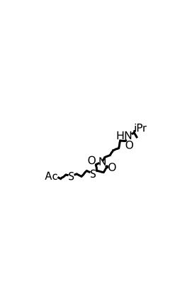 CC(=O)CCSCCCSC1CC(=O)N(CCCCCC(=O)NC(C)C(C)C)C1=O